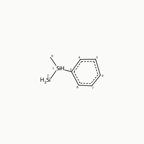 C[SiH]([SiH3])c1ccccc1